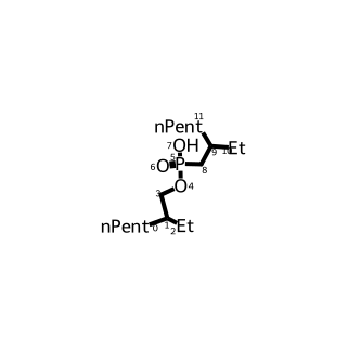 CCCCCC(CC)COP(=O)(O)CC(CC)CCCCC